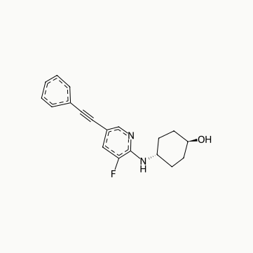 O[C@H]1CC[C@H](Nc2ncc(C#Cc3ccccc3)cc2F)CC1